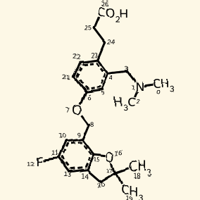 CN(C)Cc1cc(OCc2cc(F)cc3c2OC(C)(C)C3)ccc1CCC(=O)O